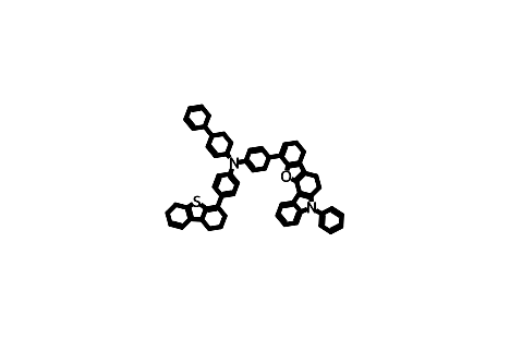 C1=CCC(C2C=CC(N(C3=CCC(C4=CCCc5c4oc4c5CCc5c-4c4ccccc4n5-c4ccccc4)C=C3)c3ccc(C4=C5SC6=C(C=CCC6)C5CCC4)cc3)CC2)C=C1